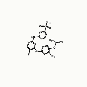 Cc1cc(Nc2nc(Nc3cccc(S(N)(=O)=O)c3)ncc2F)ccc1OC(C)C#N